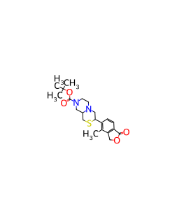 Cc1c(C2CN3CCN(C(=O)OC(C)(C)C)CC3CS2)ccc2c1COC2=O